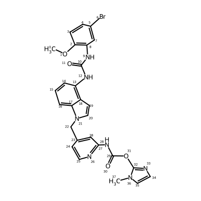 COc1ccc(Br)cc1NC(=O)Nc1cccc2c1ccn2Cc1ccnc(NC(=O)Oc2nccn2C)c1